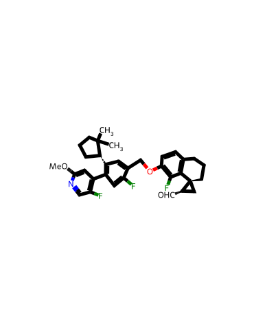 COc1cc(-c2cc(F)c(COc3ccc4c(c3F)[C@]3(CCC4)C[C@H]3C=O)cc2[C@@H]2CCCC2(C)C)c(F)cn1